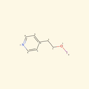 IOCCc1ccncc1